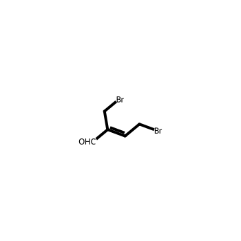 O=CC(=CCBr)CBr